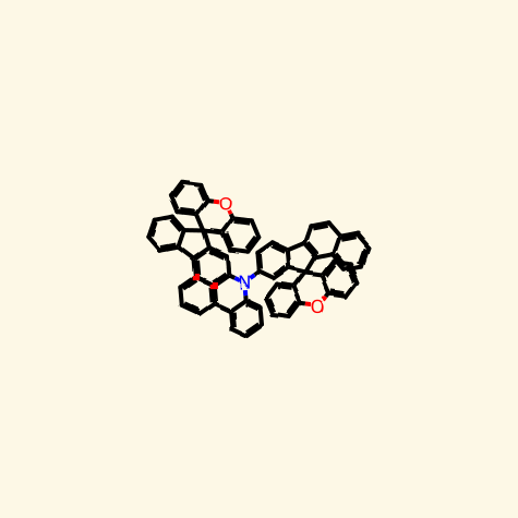 c1ccc(-c2ccccc2N(c2ccc3c(c2)C2(c4ccccc4Oc4ccccc42)c2ccccc2-3)c2ccc3c(c2)C2(c4ccccc4Oc4ccccc42)c2c-3ccc3ccccc23)cc1